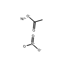 CC(=O)[O-].O=[N+]([O-])[O-].[Ni+2]